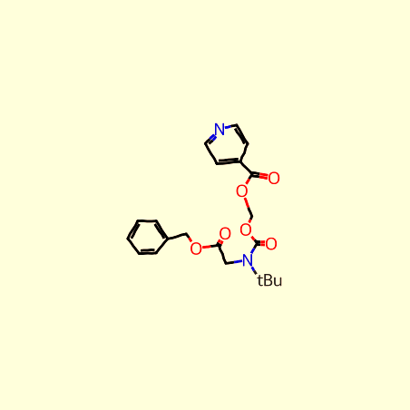 CC(C)(C)N(CC(=O)OCc1ccccc1)C(=O)OCOC(=O)c1ccncc1